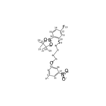 [CH2]c1cc(OCCCCSc2cc(F)ccc2B2OC(C)(C)C(C)(C)O2)cc([N+](=O)[O-])c1